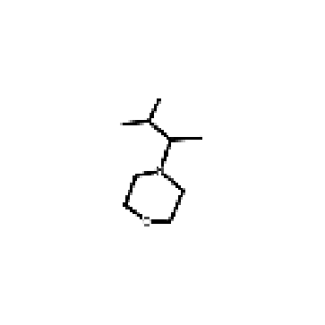 C[C](C)C(C)N1CCOCC1